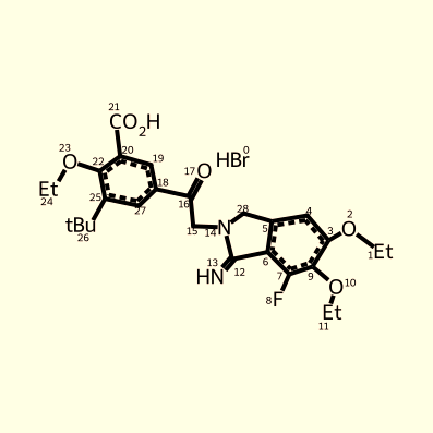 Br.CCOc1cc2c(c(F)c1OCC)C(=N)N(CC(=O)c1cc(C(=O)O)c(OCC)c(C(C)(C)C)c1)C2